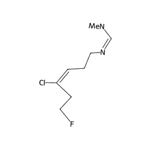 CN/C=N\CC/C=C(/Cl)CCF